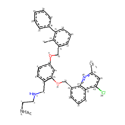 CC(=O)NCCNCc1ccc(OCc2cccc(-c3ccccc3)c2C)cc1OCc1cccc2c(Cl)cc(C(F)(F)F)nc12